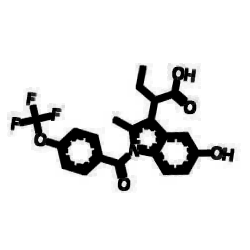 CCC(C(=O)O)c1c(C)n(C(=O)c2ccc(OC(F)(F)F)cc2)c2ccc(O)cc12